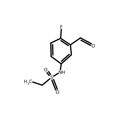 CCS(=O)(=O)Nc1ccc(F)c(C=O)c1